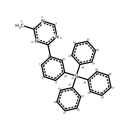 Cc1ncnc(-c2cccc([Si](c3ccccc3)(c3ccccc3)c3ccccc3)c2)n1